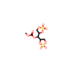 COC(=O)OC(C1COS(=O)(=O)O1)C1COS(=O)(=O)O1